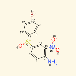 Nc1ccc([S+]([O-])c2ccc(Br)cc2)cc1[N+](=O)[O-]